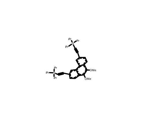 COc1c(OC)c2ccc(C#C[Si](C(C)C)(C(C)C)C(C)C)cc2c2cc(C#C[Si](C(C)C)(C(C)C)C(C)C)ccc12